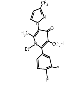 CCn1c(C)c(-n2ccc(C(F)(F)F)n2)c(=O)c(C(=O)O)c1-c1ccc(F)c(F)c1